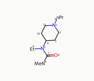 CCCN1CCC(N(CC)C(=O)NC)CC1